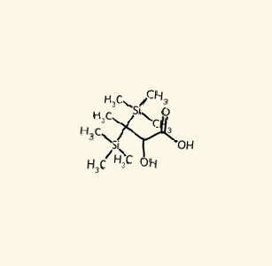 CC(C(O)C(=O)O)([Si](C)(C)C)[Si](C)(C)C